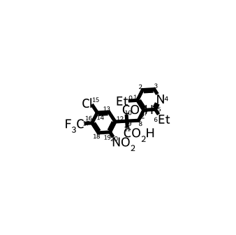 CCc1ccnc(CC)c1CC(C(=O)O)(C(=O)O)c1cc(Cl)c(C(F)(F)F)cc1[N+](=O)[O-]